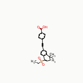 CCS(=O)(=O)C1=CCC(C)(C)c2cc(C#Cc3ccc(C(=O)O)cc3)ccc21